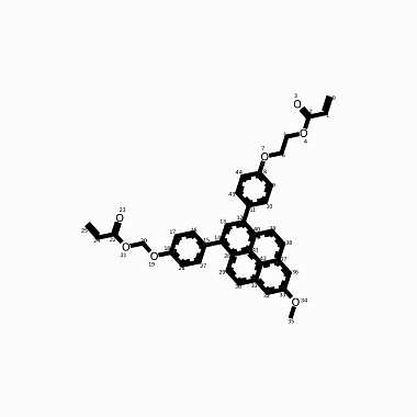 C=CC(=O)OCCOc1ccc(-c2cc(-c3ccc(OCOC(=O)C=C)cc3)c3ccc4cc(OC)cc5ccc2c3c54)cc1